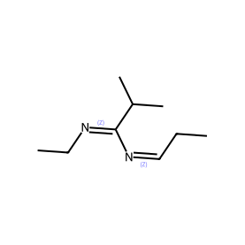 CC/C=N\C(=N/CC)C(C)C